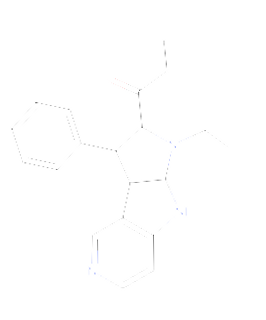 CCC(=O)C1C(c2ccccc2)C2c3cnccc3NC2N1CC